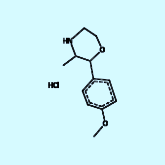 COc1ccc(C2OCCNC2C)cc1.Cl